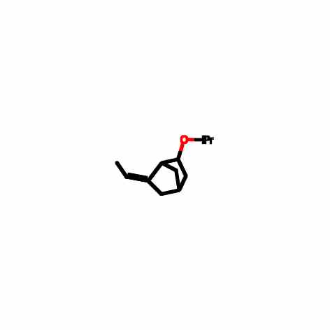 CC=C1CC2CC(OC(C)C)C1C2